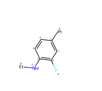 CCNc1ccc(C(C)C)cc1F